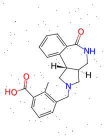 Cc1c(CN2C[C@@H]3CNC(=O)c4ccccc4[C@H]3C2)cccc1C(=O)O